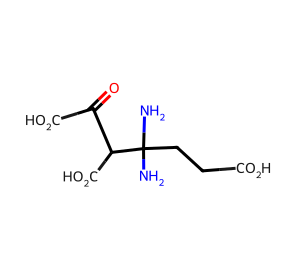 NC(N)(CCC(=O)O)C(C(=O)O)C(=O)C(=O)O